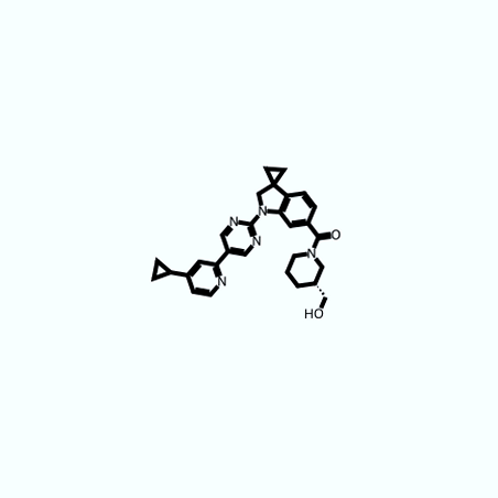 O=C(c1ccc2c(c1)N(c1ncc(-c3cc(C4CC4)ccn3)cn1)CC21CC1)N1CCC[C@@H](CO)C1